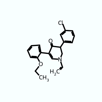 C=CN1C=C(c2ccccc2OCC)C(=O)C(c2cccc(Cl)c2)C1